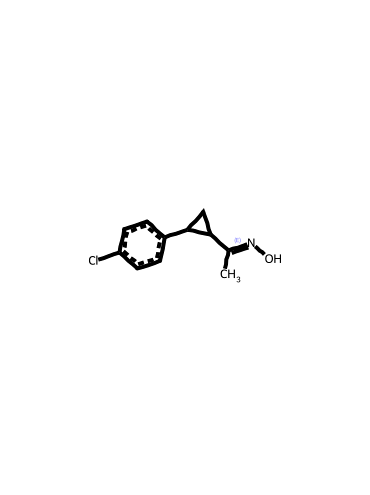 C/C(=N\O)C1CC1c1ccc(Cl)cc1